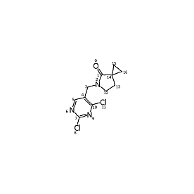 O=C1N(Cc2cnc(Cl)nc2Cl)CCC12CC2